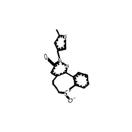 Cc1cc(-n2nc3c(cc2=O)CC[S+]([O-])c2ccccc2-3)cs1